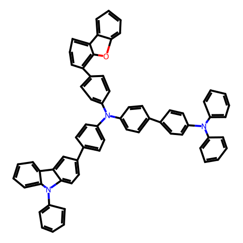 c1ccc(N(c2ccccc2)c2ccc(-c3ccc(N(c4ccc(-c5ccc6c(c5)c5ccccc5n6-c5ccccc5)cc4)c4ccc(-c5cccc6c5oc5ccccc56)cc4)cc3)cc2)cc1